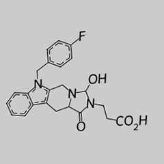 O=C(O)CCN1C(=O)C2Cc3c(n(Cc4ccc(F)cc4)c4ccccc34)CN2C1O